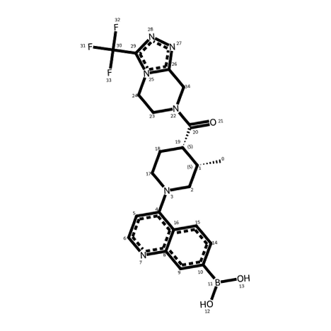 C[C@@H]1CN(c2ccnc3cc(B(O)O)ccc23)CC[C@@H]1C(=O)N1CCn2c(nnc2C(F)(F)F)C1